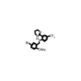 COc1ccc(Br)cc1CSc1ccc(C(F)(F)F)cc1C1=NCCCN1